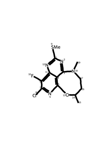 CSc1nc2c3c(nc(Cl)c(F)c3n1)OC(C)CCN2C